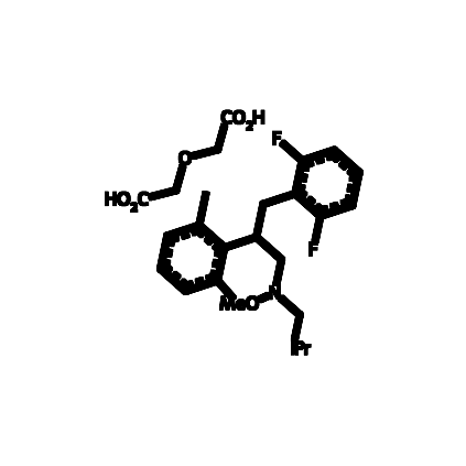 CON(CC(C)C)CC(Cc1c(F)cccc1F)c1c(C)cccc1C.O=C(O)COCC(=O)O